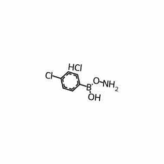 Cl.NOB(O)c1ccc(Cl)cc1